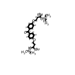 C[SiH](C)OC(CCOc1ccc(C(=O)c2ccc(OCCC(O[SiH](C)C)C(C)(C)C)cc2)cc1)C(C)(C)C